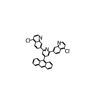 Clc1ccnc2cc(-c3cc(-c4c5ccccc5cc5ccccc45)cc(-c4ccc5c(Cl)ccnc5c4)n3)ccc12